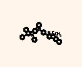 CC1(C)c2cc(-c3ccc(-n4c5ccccc5c5cc6c7c8ccccc8c(-c8ccccc8)cc7n(-c7ccccc7)c6cc54)cc3)ccc2-c2cc3ccccc3cc21